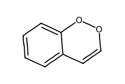 C1=Cc2ccccc2OO1